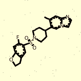 Cc1cc2nccn2cc1C1CCN(S(=O)(=O)c2cc3c(cc2F)OCC3)CC1